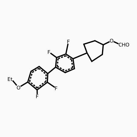 CCOc1ccc(-c2ccc(C3CCC(OC=O)CC3)c(F)c2F)c(F)c1F